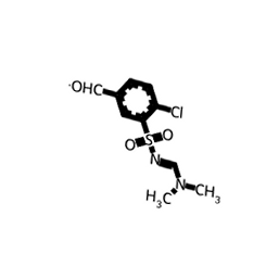 CN(C)C=NS(=O)(=O)c1cc([C]=O)ccc1Cl